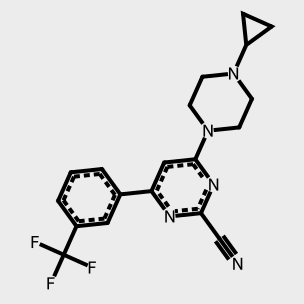 N#Cc1nc(-c2cccc(C(F)(F)F)c2)cc(N2CCN(C3CC3)CC2)n1